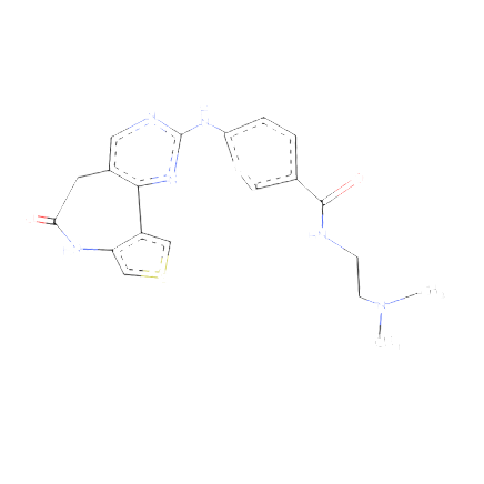 CN(C)CCNC(=O)c1ccc(Nc2ncc3c(n2)-c2cscc2NC(=O)C3)cc1